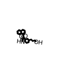 O=S(=O)(c1cccc2ccccc12)c1n[nH]c2ccc(CCCO)cc12